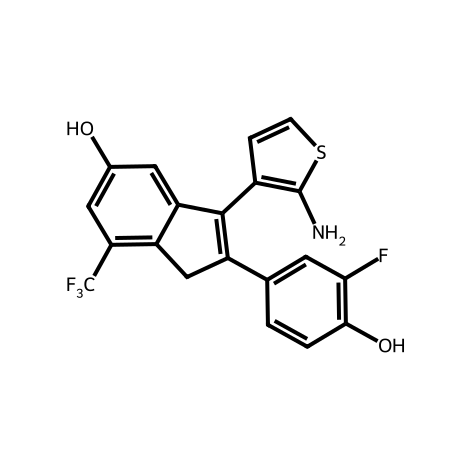 Nc1sccc1C1=C(c2ccc(O)c(F)c2)Cc2c1cc(O)cc2C(F)(F)F